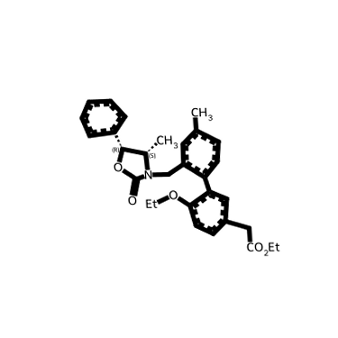 CCOC(=O)Cc1ccc(OCC)c(-c2ccc(C)cc2CN2C(=O)O[C@H](c3ccccc3)[C@@H]2C)c1